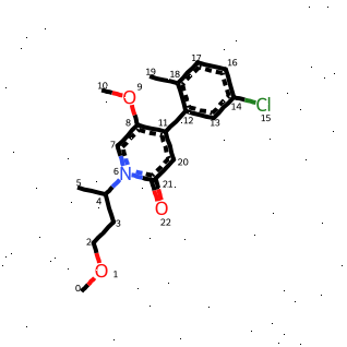 COCCC(C)n1cc(OC)c(-c2cc(Cl)ccc2C)cc1=O